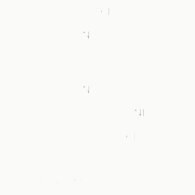 CCN1CCCC1c1nc(-c2ccc(OC)cc2)c(NC)c2ccccc12